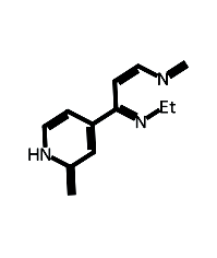 C=N/C=C\C(=N/CC)C1=CC(=C)NC=C1